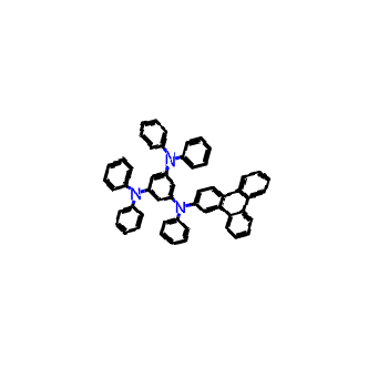 c1ccc(N(c2ccccc2)c2cc(N(c3ccccc3)c3ccccc3)cc(N(c3ccccc3)c3ccc4c5ccccc5c5ccccc5c4c3)c2)cc1